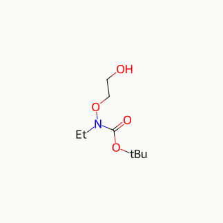 CCN(OCCO)C(=O)OC(C)(C)C